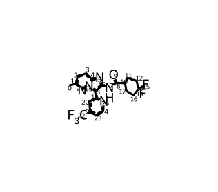 Cc1ccc2nc(NC(=O)C3CCC(F)(F)CC3)c(-c3cc(C(F)(F)F)ccn3)n2n1